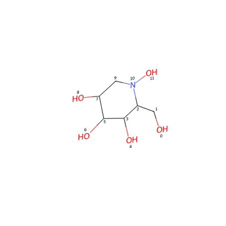 OCC1C(O)C(O)C(O)CN1O